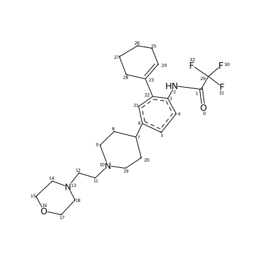 O=C(Nc1ccc(C2CCN(CCN3CCOCC3)CC2)cc1C1=CCCCC1)C(F)(F)F